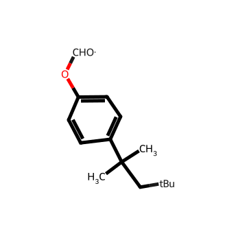 CC(C)(C)CC(C)(C)c1ccc(O[C]=O)cc1